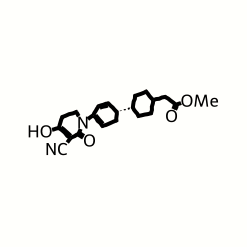 COC(=O)CC1CCC([C@H]2C=CC(N3CCC(O)=C(C#N)C3=O)=CC2)CC1